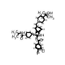 CC(C)NC(=O)[C@H]1CC[C@@H](n2/c(=N/C(=O)c3ccc(F)c(Cl)c3)[nH]c3ccc(CN4CCC(C(C)(C)O)CC4)cc32)CC1